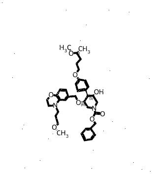 COCCCN1CCOc2ccc(CO[C@H]3CN(C(=O)OCc4ccccc4)C[C@@H](O)[C@@H]3c3ccc(OCCC[C@@H](C)OC)cc3)cc21